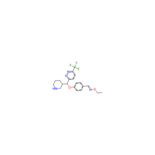 CCON=Cc1ccc(OC(c2ccc(C(F)(F)F)nn2)C2CCCNC2)cc1